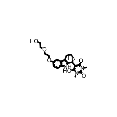 Cn1c(O)c(C2NCCc3c2[nH]c2ccc(OCCOCCO)cc32)c(=O)n(C)c1=O